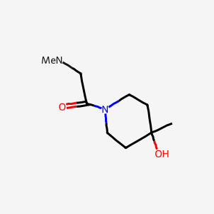 CNCC(=O)N1CCC(C)(O)CC1